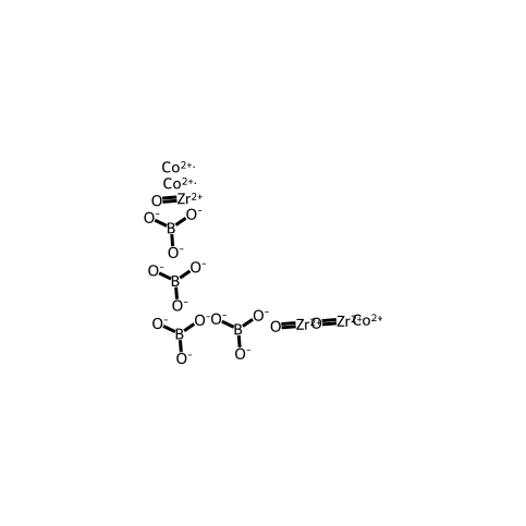 [Co+2].[Co+2].[Co+2].[O-]B([O-])[O-].[O-]B([O-])[O-].[O-]B([O-])[O-].[O-]B([O-])[O-].[O]=[Zr+2].[O]=[Zr+2].[O]=[Zr+2]